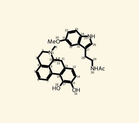 CN1CCc2cccc3c2[C@H]1Cc1ccc(O)c(O)c1-3.COc1ccc2[nH]cc(CCNC(C)=O)c2c1